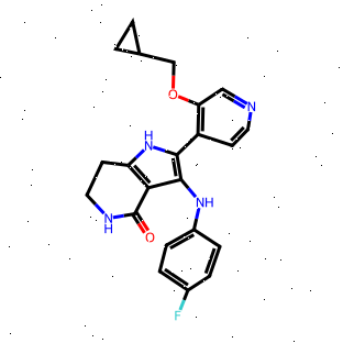 O=C1NCCc2[nH]c(-c3ccncc3OCC3CC3)c(Nc3ccc(F)cc3)c21